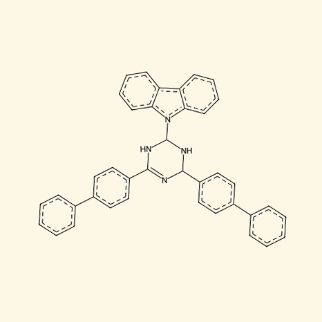 c1ccc(-c2ccc(C3=NC(c4ccc(-c5ccccc5)cc4)NC(n4c5ccccc5c5ccccc54)N3)cc2)cc1